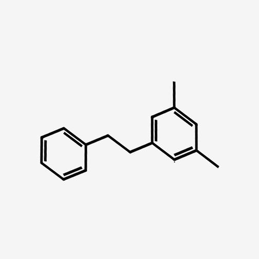 Cc1[c]c(CCc2ccccc2)cc(C)c1